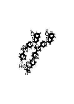 COc1cccc2ccc(N3CCC(c4nc(-c5ccc(C)nc5)no4)CC3)nc12.COc1cccc2ccc(N3CCC(c4nc(-c5ccc(N6CCC(CN(C(=O)O)C(C)(C)C)CC6)nc5)no4)CC3)nc12